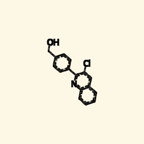 OCc1ccc(-c2nc3ccccc3cc2Cl)cc1